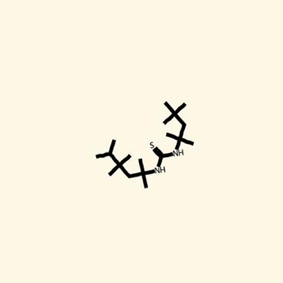 CC(C)C(C)(C)CC(C)(C)NC(=S)NC(C)(C)CC(C)(C)C